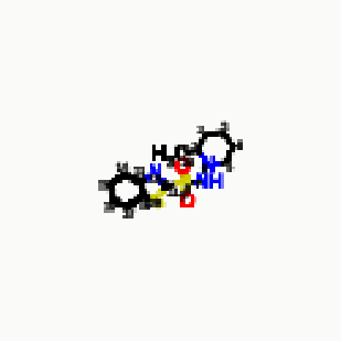 CC1CCCCN1NS(=O)(=O)c1nc2ccccc2s1